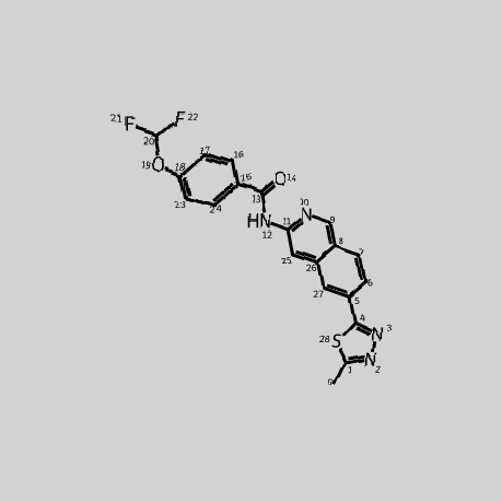 Cc1nnc(-c2ccc3cnc(NC(=O)c4ccc(OC(F)F)cc4)cc3c2)s1